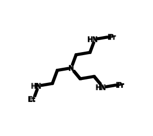 CCNCCN(CCNC(C)C)CCNC(C)C